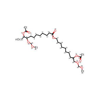 CCCCCCCCC(OC(=O)CC)C(CCCCCCCC(=O)OCCCCCCCCC(COCOCC)OC(=O)CC)OCOCC